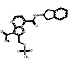 CS(=O)(=O)OCc1nn2c(C(=O)NC3Cc4ccccc4C3)ccnc2c1C(N)=O